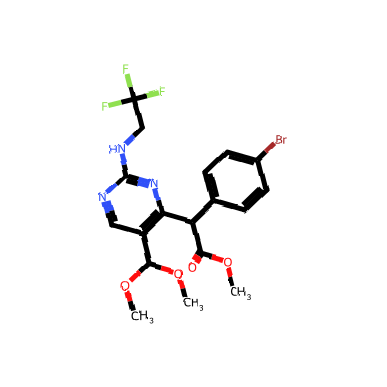 COC(=O)C(c1ccc(Br)cc1)c1nc(NCC(F)(F)F)ncc1C(OC)OC